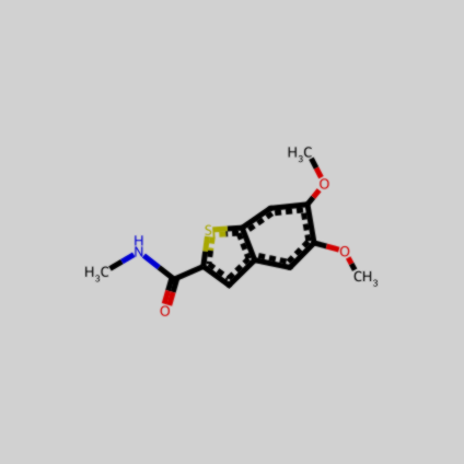 CNC(=O)c1cc2cc(OC)c(OC)cc2s1